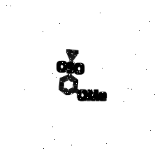 COc1cccc(S(=O)(=O)C2CC2)c1